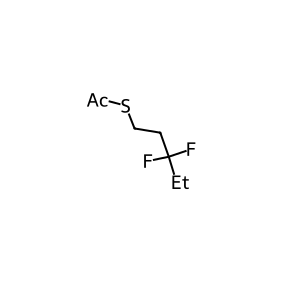 CCC(F)(F)CCSC(C)=O